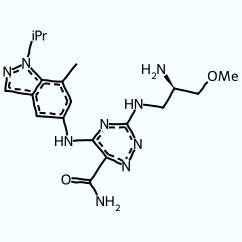 COC[C@H](N)CNc1nnc(C(N)=O)c(Nc2cc(C)c3c(cnn3C(C)C)c2)n1